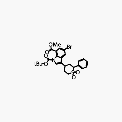 COC(=O)c1cc(Br)cc2c(C3CCS(=O)(=O)C(c4ccccc4)C3)cn(C(=O)OC(C)(C)C)c12